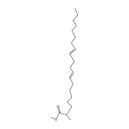 CCCCCCCC=CCCC=CCCCCCC(C)C(=O)OC